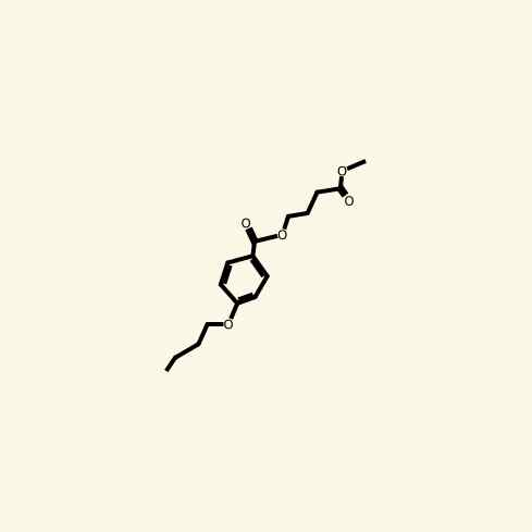 CCCCOc1ccc(C(=O)OCCCC(=O)OC)cc1